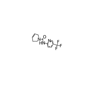 O=C(Nc1ccc(C(F)(F)F)cn1)N1CC=CCC1